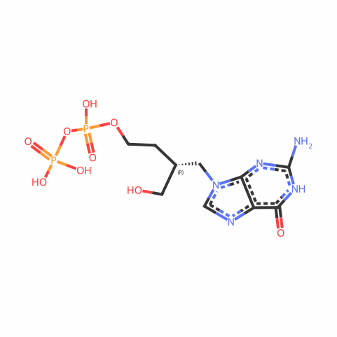 Nc1nc2c(ncn2C[C@H](CO)CCOP(=O)(O)OP(=O)(O)O)c(=O)[nH]1